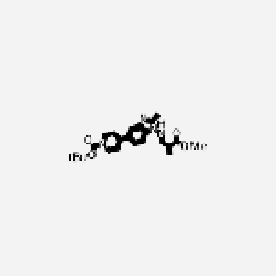 COC(=O)C(C)CNn1c(C)nc2cc(C3CCN(C(=O)OC(C)(C)C)CC3)ccc21